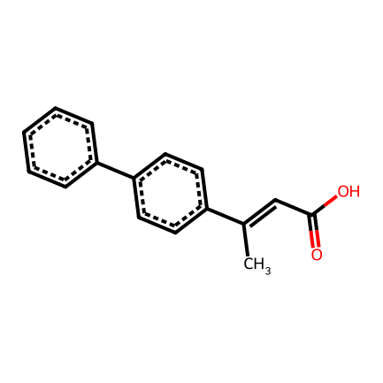 CC(=CC(=O)O)c1ccc(-c2ccccc2)cc1